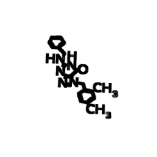 Cc1ccc(Cn2cnc3nc(NCc4ccccc4)[nH]c(=O)c32)c(C)c1